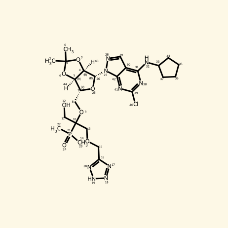 CC1(C)O[C@@H]2[C@H](O1)[C@@H](COC(CO)(COCc1nn[nH]n1)P(C)(C)=O)O[C@H]2n1ncc2c(NC3CCCC3)nc(Cl)nc21